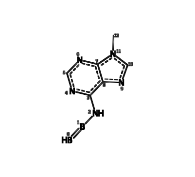 B=BNc1ncnc2c1ncn2C